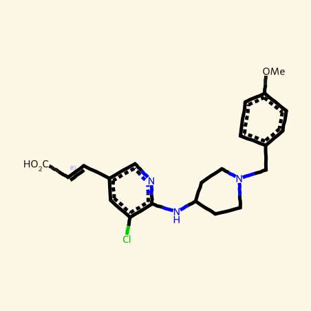 COc1ccc(CN2CCC(Nc3ncc(/C=C/C(=O)O)cc3Cl)CC2)cc1